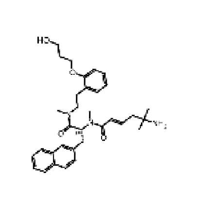 CN(CCc1ccccc1OCCCO)C(=O)[C@@H](Cc1ccc2ccccc2c1)N(C)C(=O)C=CCC(C)(C)N